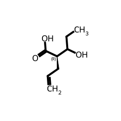 C=CC[C@@H](C(=O)O)C(O)CC